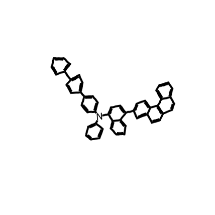 c1ccc(-c2ccc(-c3ccc(N(c4ccccc4)c4ccc(-c5ccc6c(ccc7ccc8ccccc8c76)c5)c5ccccc45)cc3)cc2)cc1